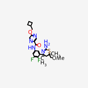 COC[C@@]1(C)C[C@@](C)(c2cc(NC(=O)c3cnc(OCC4CCC4)cn3)cc(F)c2F)N=C(N)S1